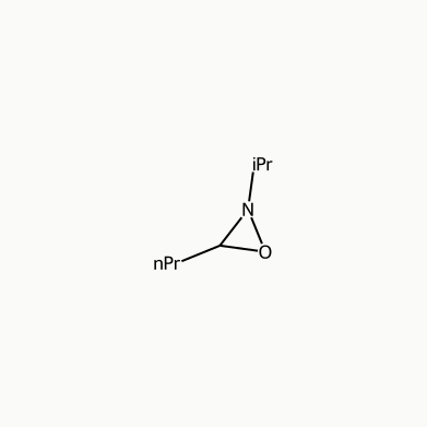 CCCC1ON1C(C)C